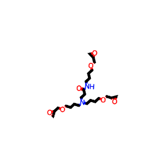 O=C(CCN(CCCCOCC1CO1)CCCCOCC1CO1)NCCCCOCC1CO1